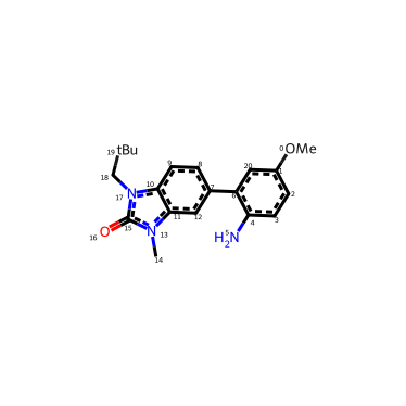 COc1ccc(N)c(-c2ccc3c(c2)n(C)c(=O)n3CC(C)(C)C)c1